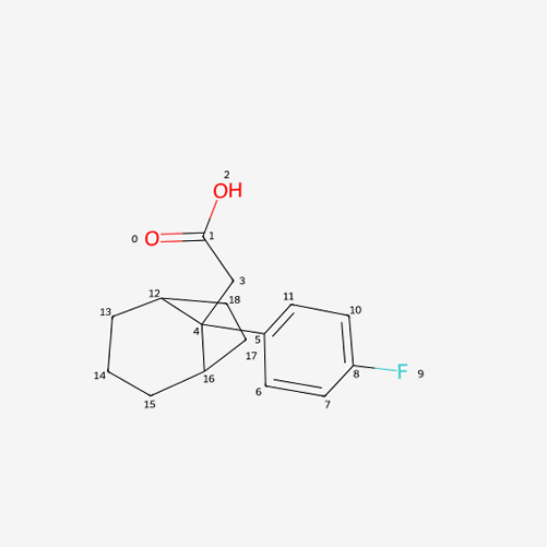 O=C(O)CC1(c2ccc(F)cc2)C2CCCC1CC2